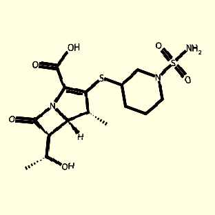 C[C@@H](O)[C@H]1C(=O)N2C(C(=O)O)=C(SC3CCCN(S(N)(=O)=O)C3)[C@H](C)[C@H]12